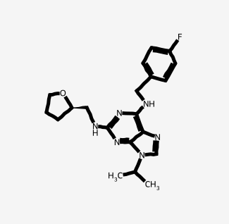 CC(C)n1cnc2c(NCc3ccc(F)cc3)nc(NC[C@H]3CCCO3)nc21